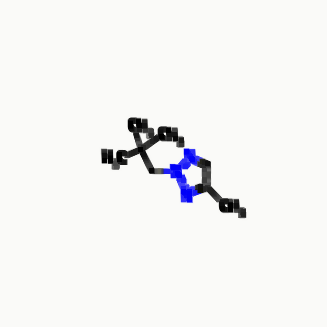 Cc1cnn(CC(C)(C)C)n1